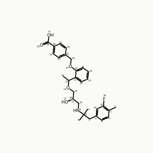 Cc1ccc(CC(C)(C)NC[C@@H](O)COC(C)c2ccccc2OCc2ccc(C(=O)O)cc2)cc1F